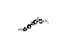 CN1CCN(c2ncc3nc(-c4ccc(N5CC[C@H](O)C5)nc4)sc3n2)C(=O)C1